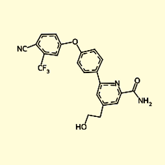 N#Cc1ccc(Oc2ccc(-c3cc(CCO)cc(C(N)=O)n3)cc2)cc1C(F)(F)F